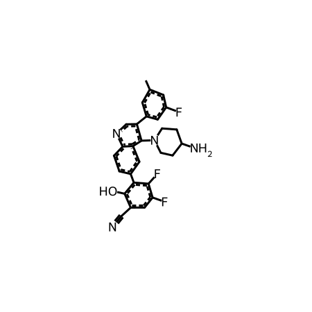 Cc1cc(F)cc(-c2cnc3ccc(-c4c(O)c(C#N)cc(F)c4F)cc3c2N2CCC(N)CC2)c1